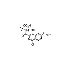 CC(C)Oc1ccc2c(Cl)nc(C(=O)NC(C)(C)C(=O)O)c(O)c2c1